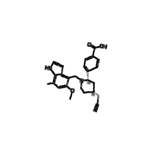 C#CC[C@@H]1CCN(Cc2c(OC)cc(C)c3[nH]ccc23)[C@H](c2ccc(C(=O)O)cc2)C1